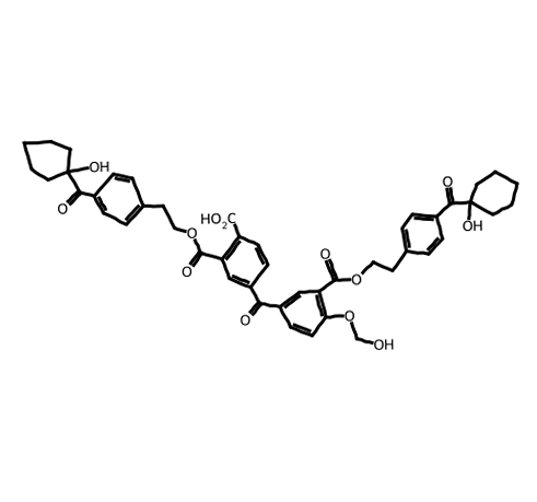 O=C(c1ccc(OCO)c(C(=O)OCCc2ccc(C(=O)C3(O)CCCCC3)cc2)c1)c1ccc(C(=O)O)c(C(=O)OCCc2ccc(C(=O)C3(O)CCCCC3)cc2)c1